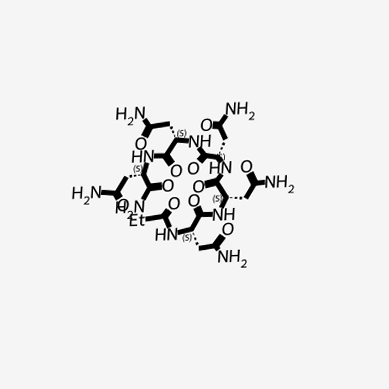 CCC(=O)N[C@@H](CC(N)=O)C(=O)N[C@@H](CC(N)=O)C(=O)N[C@@H](CC(N)=O)C(=O)N[C@@H](CC(N)=O)C(=O)N[C@@H](CC(N)=O)C(N)=O